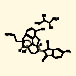 C=CCN1CC[C@]23c4c5ccc(O)c4O[C@H]2[C@H](N2C(=O)c4ccc(C)cc4C2=O)CC[C@@]3(O)[C@H]1C5.O=C(O)C(O)C(O)C(=O)O